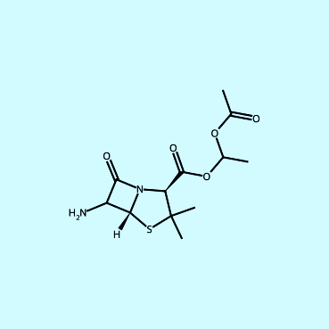 CC(=O)OC(C)OC(=O)[C@@H]1N2C(=O)C(N)[C@H]2SC1(C)C